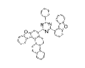 c1ccc(-c2nc(-c3cc4oc5ccccc5c4c4c3ccc3c5ccccc5ccc34)nc(-c3cccc4oc5ccccc5c34)n2)cc1